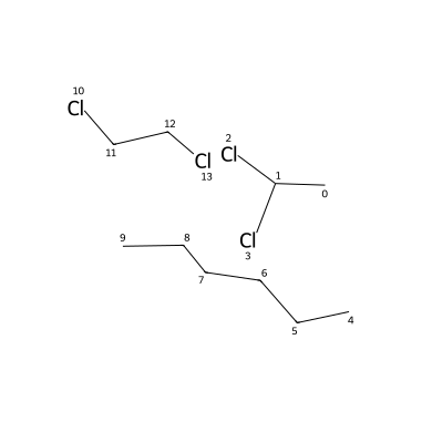 CC(Cl)Cl.CCCCCC.ClCCCl